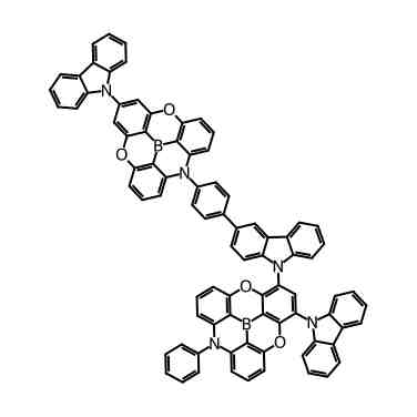 c1ccc(N2c3cccc4c3B3c5c(cccc52)Oc2c(-n5c6ccccc6c6cc(-c7ccc(N8c9cccc%10c9B9c%11c(cc(-n%12c%13ccccc%13c%13ccccc%13%12)cc%11Oc%11cccc8c%119)O%10)cc7)ccc65)cc(-n5c6ccccc6c6ccccc65)c(c23)O4)cc1